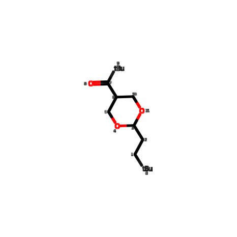 CC(C)(C)CCC1OCC(C(=O)C(C)(C)C)CO1